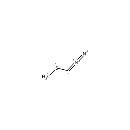 CSC=[N+]=[N-]